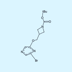 CC(C)(C)OC(=O)N1CC(COc2cncc(Br)n2)C1